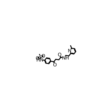 Cc1cccc(CCNC(=O)CCC(=O)c2ccc(NS(C)(=O)=O)cc2)n1